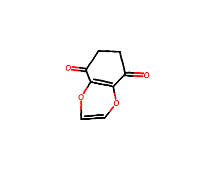 O=C1CCC(=O)C2=C1OC=CO2